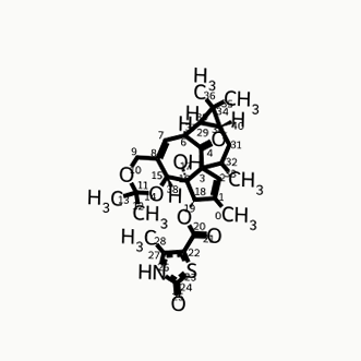 CC1=CC23C(=O)[C@@H](C=C4COC(C)(C)O[C@H]4[C@]2(O)[C@H]1OC(=O)c1sc(=O)[nH]c1C)[C@@H]1[C@@H](CC3C)C1(C)C